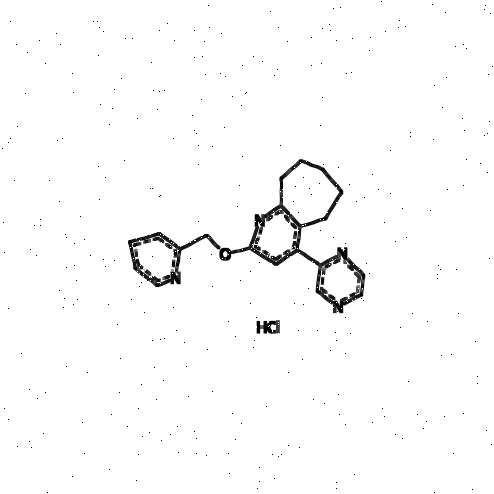 Cl.c1ccc(COc2cc(-c3cnccn3)c3c(n2)CCCCC3)nc1